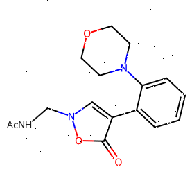 CC(=O)NCn1cc(-c2ccccc2N2CCOCC2)c(=O)o1